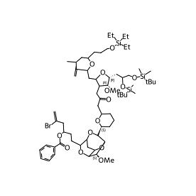 C=C(Br)CC(CCC1OC2C3CC1OC([C@@H]1CCCC(CC(=O)CC4C(CC5OC(CCCO[Si](CC)(CC)CC)CC(C)C5=C)O[C@H](CC(CO[Si](C)(C)C(C)(C)C)O[Si](C)(C)C(C)(C)C)[C@@H]4OC)O1)C(O3)[C@H]2OC)OC(=O)c1ccccc1